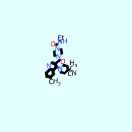 CCNC(=O)N1CCN(C(=O)c2cnc3ccc(C)cc3c2N2CCC(C)(C#N)CC2)CC1